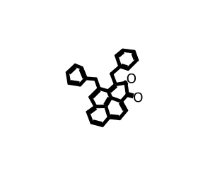 O=c1c(Cc2ccccc2)c2c(Cc3ccccc3)cc3cccc4ccc(c1=O)c2c43